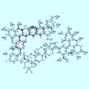 CC[C@H](C)[C@H](C[C@H](O)CC(=O)O[C@H]1[C@@H](O)[C@@H](C)O[C@@H](OC(=O)[C@]23CCC(C)(C)C[C@H]2C2=CCC4[C@@]5(C)CC[C@H](O[C@@H]6O[C@H](C(=O)O)[C@@H](O)[C@H](O[C@@H]7OC[C@@H](O)[C@H](O)[C@H]7O)[C@H]6O[C@@H]6O[C@H](CO)[C@H](O)[C@H](O)[C@H]6O)[C@@](C)(C=O)[C@@H]5CC[C@@]4(C)[C@]2(C)CC3)[C@@H]1O[C@@H]1O[C@@H](C)[C@H](O[C@H]2C[C@@H](O[C@@H]3OC[C@@H](O)[C@H](O)[C@H]3O)[C@H](O)CO2)[C@@H](O[C@@H]2O[C@H](CO)[C@@H](O)[C@H](O)[C@H]2O)[C@H]1O)OC(=O)C[C@@H](O)C[C@H](O[C@@H]1O[C@@H](CO)[C@H](O)[C@H]1O)[C@@H](C)CC